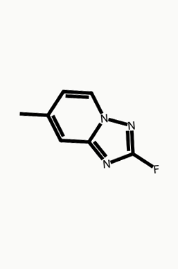 Cc1ccn2nc(F)nc2c1